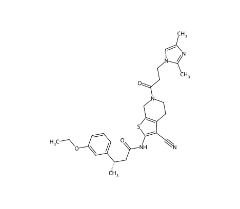 CCOc1cccc([C@@H](C)CC(=O)Nc2sc3c(c2C#N)CCN(C(=O)CCn2cc(C)nc2C)C3)c1